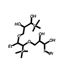 CCC(OCC(O)C(O)[Si](C)(C)C)C(OCC(O)C(O)SC(C)C)[Si](C)(C)C